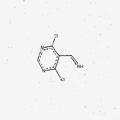 N=Cc1c(Cl)ncnc1Cl